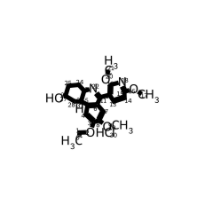 CCOc1cc2c(cc1OC)C(c1ccc(OC)nc1OC)=NC1CCC(O)C[C@H]21.Cl